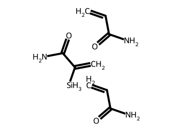 C=C([SiH3])C(N)=O.C=CC(N)=O.C=CC(N)=O